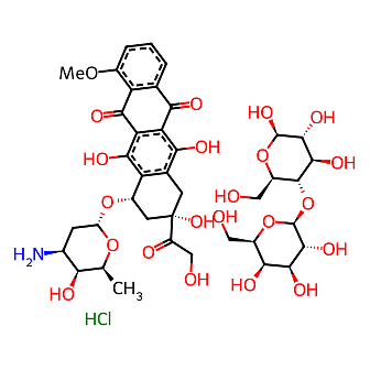 COc1cccc2c1C(=O)c1c(O)c3c(c(O)c1C2=O)C[C@@](O)(C(=O)CO)C[C@@H]3O[C@H]1C[C@H](N)[C@H](O)[C@H](C)O1.Cl.OC[C@H]1O[C@@H](O[C@H]2[C@H](O)[C@@H](O)[C@H](O)O[C@@H]2CO)[C@H](O)[C@@H](O)[C@H]1O